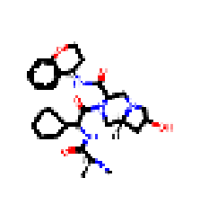 CN[C@@H](C)C(=O)N[C@H](C(=O)N1C[C@H]2CC(O)CN2CC1C(=O)N[C@@H]1CCOc2ccccc21)C1CCCCC1